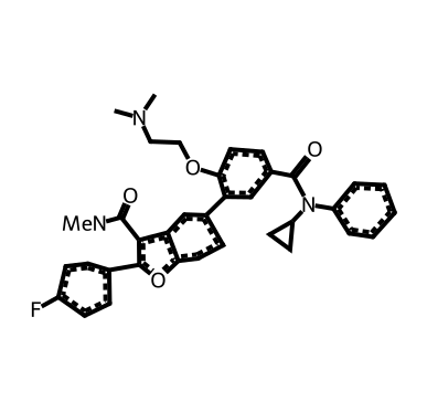 CNC(=O)c1c(-c2ccc(F)cc2)oc2ccc(-c3cc(C(=O)N(c4ccccc4)C4CC4)ccc3OCCN(C)C)cc12